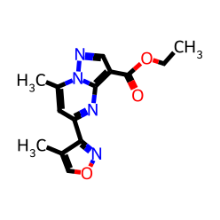 CCOC(=O)c1cnn2c(C)cc(-c3nocc3C)nc12